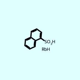 O=S(=O)(O)c1cccc2ccccc12.[RbH]